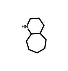 C1CCC2CCCNC2CC1